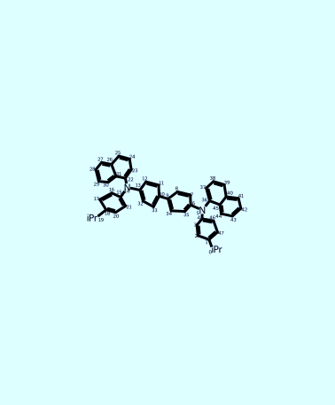 CC(C)c1ccc(N(c2ccc(-c3ccc(N(c4ccc(C(C)C)cc4)c4cccc5ccccc45)cc3)cc2)c2cccc3ccccc23)cc1